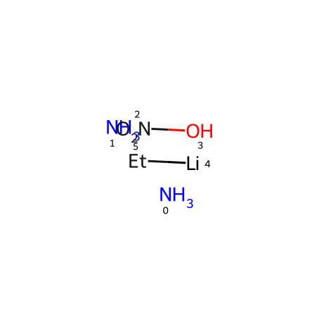 N.N.O=[N+]([O-])O.[Li][CH2][CH2]